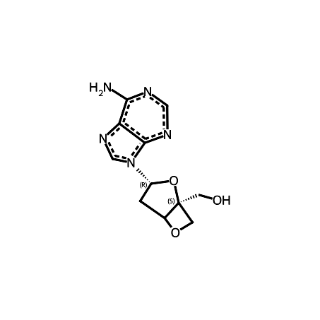 Nc1ncnc2c1ncn2[C@H]1CC2OC[C@]2(CO)O1